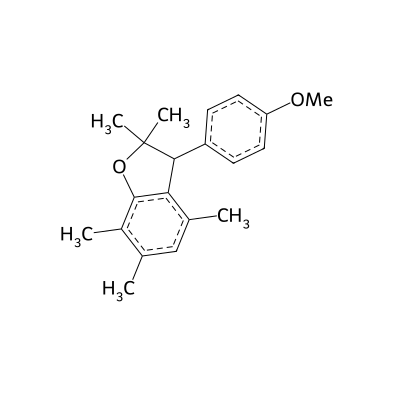 COc1ccc(C2c3c(C)cc(C)c(C)c3OC2(C)C)cc1